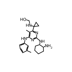 Cc1cccc(Nc2nc(N[C@@H]3CCCC[C@@H]3N)nc(C3(NCO)CC3)c2C)c1